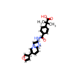 CC(C)(C(=O)O)c1ccc(C(=O)Nc2cn3cc(-c4ccoc4)ccc3n2)cc1